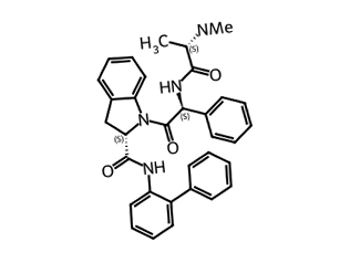 CN[C@@H](C)C(=O)N[C@H](C(=O)N1c2ccccc2C[C@H]1C(=O)Nc1ccccc1-c1ccccc1)c1ccccc1